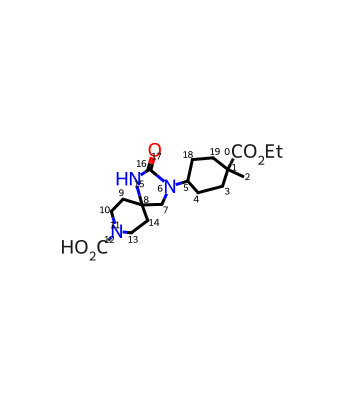 CCOC(=O)C1(C)CCC(N2CC3(CCN(C(=O)O)CC3)NC2=O)CC1